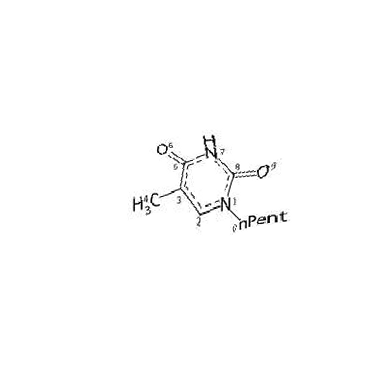 CCCCCn1cc(C)c(=O)[nH]c1=O